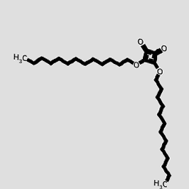 CCCCCCCCCCCCCOc1c(OCCCCCCCCCCCCC)c(=O)c1=O